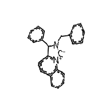 c1ccc(CN2[CH-][n+]3c(ccc4ccccc43)C2c2ccccc2)cc1